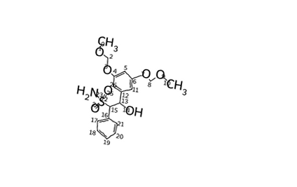 COCOc1cc(OCOC)cc(C(O)C(c2ccccc2)S(N)(=O)=O)c1